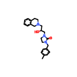 Cc1ccc(CN2CCN(CC(O)CN3CCc4ccccc4C3)C2=O)cc1